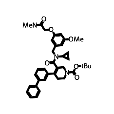 CNC(=O)COc1cc(CN(C(=O)C2=C(c3cccc(-c4ccccc4)c3)CCN(C(=O)OC(C)(C)C)C2)C2CC2)cc(OC)c1